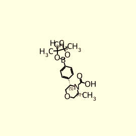 C[C@@H]1COC[C@H](c2ccc(B3OC(C)(C)C(C)(C)O3)cc2)N1C(=O)O